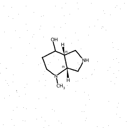 CN1CCC(O)[C@@H]2CNC[C@@H]21